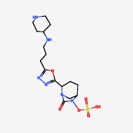 O=C1N2CC(CCC2c2nnc(CCCNC3CCNCC3)o2)N1OS(=O)(=O)O